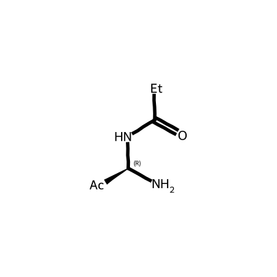 CCC(=O)N[C@@H](N)C(C)=O